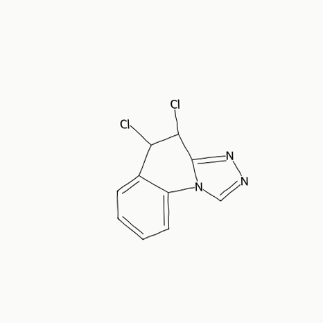 ClC1c2ccccc2-n2cnnc2C1Cl